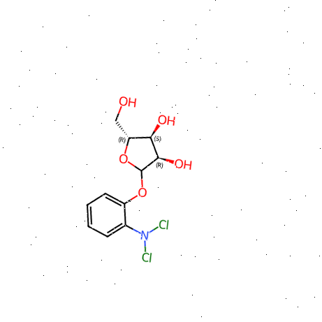 OC[C@H]1OC(Oc2ccccc2N(Cl)Cl)[C@H](O)[C@@H]1O